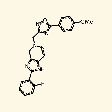 COc1ccc(-c2nc(CN3Cc4nc(-c5ccccc5F)[nH]c4C=N3)no2)cc1